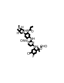 C=CC(=O)Nc1cc(Nc2nccc(Nc3cc(Cl)c(F)cc3C(C)(C)OC=O)n2)c(OC)cc1N1C[C@@H]2CN(C)[C@@H]2C1